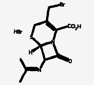 Br.CC(C)=NC1C(=O)N2C(C(=O)O)=C(CBr)CS[C@@H]12